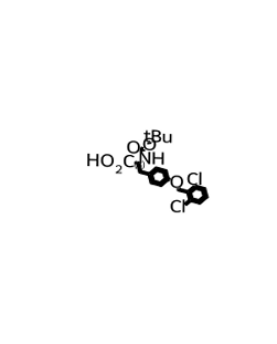 CC(C)(C)OC(=O)N[C@@H](Cc1ccc(OCc2c(Cl)cccc2Cl)cc1)C(=O)O